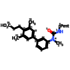 CCCCCNC(=O)N(C)c1cccc(-c2cc(C)c(CCC(=O)O)c(C)c2)c1